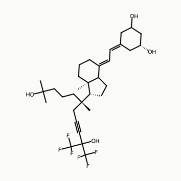 CC(C)(O)CCC[C@@](C)(CC#CC(O)(C(F)(F)F)C(F)(F)F)[C@H]1CCC2/C(=C/C=C3/CC(O)C[C@H](O)C3)CCC[C@@]21C